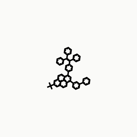 CC(C)(C)c1cc2ccc3c(-c4ccc(C(=C(c5ccccc5)c5ccccc5)c5ccccc5)cc4)cc(-c4cccc(-c5ccccc5)c4)c4ccc(c1)c2c34